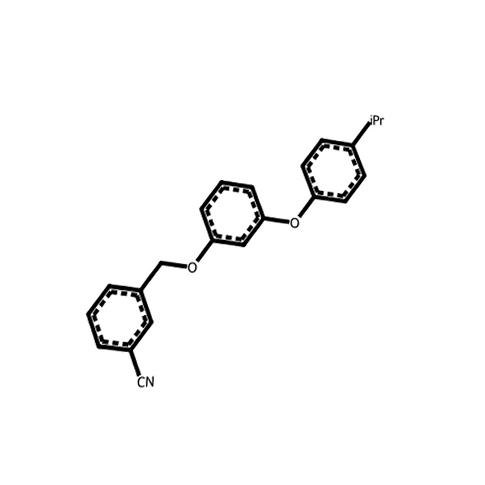 CC(C)c1ccc(Oc2cccc(OCc3cccc(C#N)c3)c2)cc1